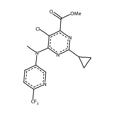 COC(=O)c1nc(C2CC2)nc(N(C)c2ccc(C(F)(F)F)nc2)c1Cl